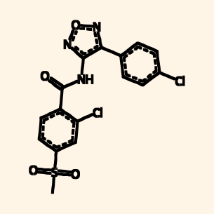 CS(=O)(=O)c1ccc(C(=O)Nc2nonc2-c2ccc(Cl)cc2)c(Cl)c1